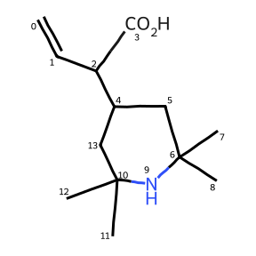 C=CC(C(=O)O)C1CC(C)(C)NC(C)(C)C1